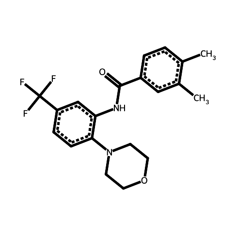 Cc1ccc(C(=O)Nc2cc(C(F)(F)F)ccc2N2CCOCC2)cc1C